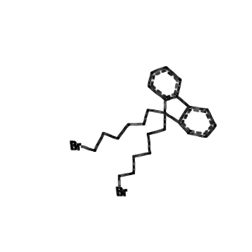 BrCCCCCCC1(CCCCCCBr)c2ccccc2-c2ccccc21